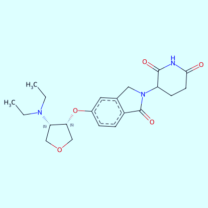 CCN(CC)[C@H]1COC[C@H]1Oc1ccc2c(c1)CN(C1CCC(=O)NC1=O)C2=O